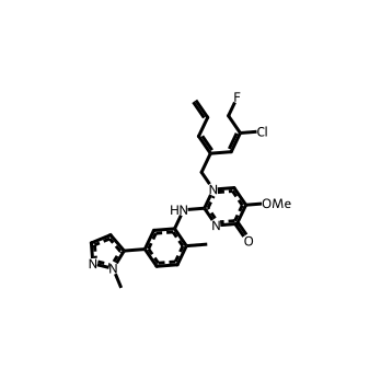 C=C/C=C(\C=C(\Cl)CF)Cn1cc(OC)c(=O)nc1Nc1cc(-c2ccnn2C)ccc1C